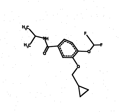 CC(C)NC(=O)c1ccc(OC(F)F)c(OCC2CC2)c1